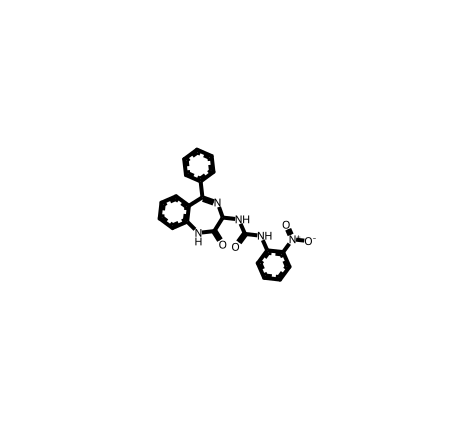 O=C(Nc1ccccc1[N+](=O)[O-])NC1N=C(c2ccccc2)c2ccccc2NC1=O